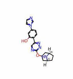 Oc1cc(-n2ccnc2)ccc1-c1cnc(OC2C[C@H]3CC[C@@H](C2)N3)nn1